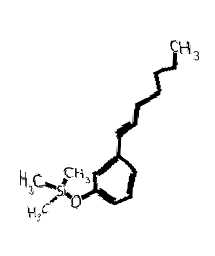 CCCCC/C=C/c1cccc(O[Si](C)(C)C)c1